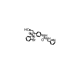 C#CCN(c1ccc(NC(=O)NCc2cccnc2)cc1)S(=O)(=O)c1ccccc1Br